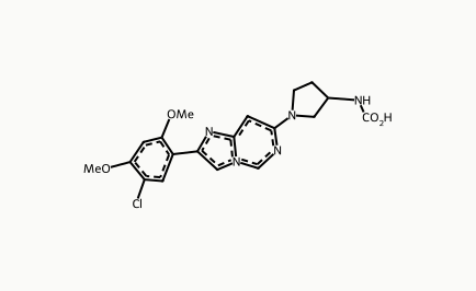 COc1cc(OC)c(-c2cn3cnc(N4CCC(NC(=O)O)C4)cc3n2)cc1Cl